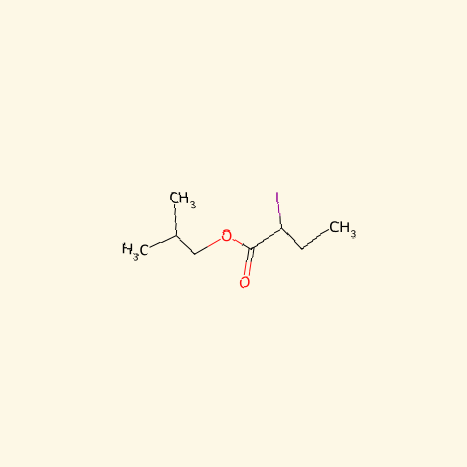 CCC(I)C(=O)OCC(C)C